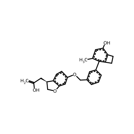 C=C(O)C[C@@H]1COc2cc(OCc3cccc(-c4c(C)cc(O)c5c4CC5)c3)ccc21